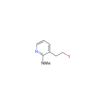 CNc1ncccc1CCI